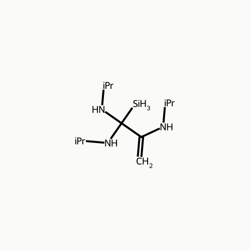 C=C(NC(C)C)C([SiH3])(NC(C)C)NC(C)C